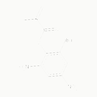 C=C(C)C(=O)Oc1c(C(C)CC)cc([N+](=O)[O-])cc1[N+](=O)[O-]